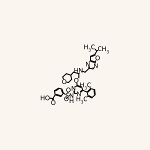 Cc1cccc(C)c1-c1cc(OCC(CC2CCOCC2)NCc2cnc3oc(C(C)C)cc3n2)nc(NS(=O)(=O)c2cccc(C(=O)O)c2)n1